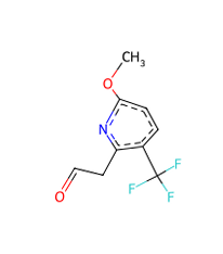 COc1ccc(C(F)(F)F)c(CC=O)n1